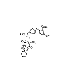 CCCCN1C(=O)[C@@H](CC2(O)CCCCC2)NC(=O)C12CCN(Cc1ccc(Oc3ccc(C#N)cc3OC)cc1)CC2.Cl